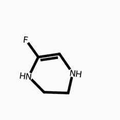 FC1=CNCCN1